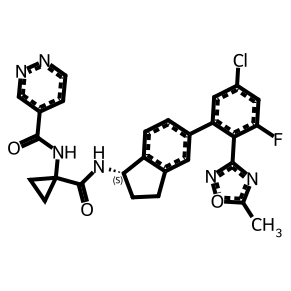 Cc1nc(-c2c(F)cc(Cl)cc2-c2ccc3c(c2)CC[C@@H]3NC(=O)C2(NC(=O)c3ccnnc3)CC2)no1